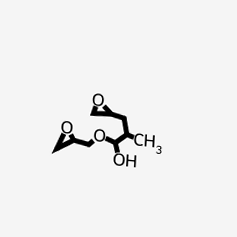 CC(CC1CO1)C(O)OCC1CO1